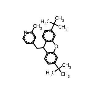 Cc1cc(CC2c3ccc(C(C)(C)C)cc3Oc3cc(C(C)(C)C)ccc32)ccn1